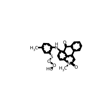 Cc1ccc(Nc2ccc3c4c(cc(=O)n3C)-c3ccccc3C(=O)c24)c(SOOO)c1